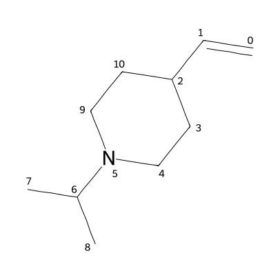 C=CC1CCN(C(C)C)CC1